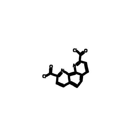 O=C(Cl)c1ccc2ccc3ccc(C(=O)Cl)nc3c2n1